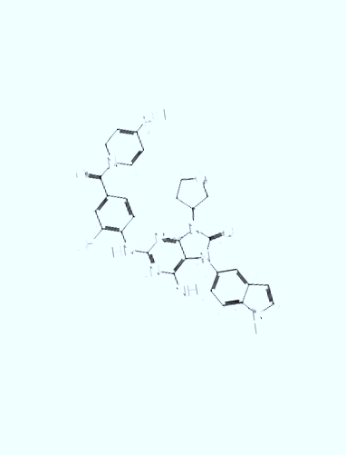 Nc1nc(Nc2ccc(C(=O)N3C=CC(O)=CC3)cc2F)nc2c1n(-c1ccc3[nH]ccc3c1)c(=O)n2C1CCOC1